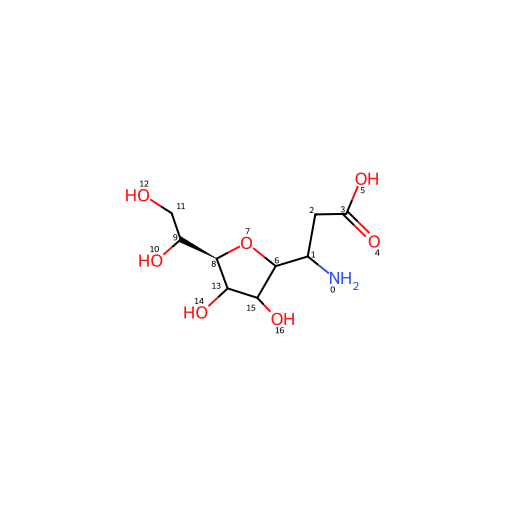 NC(CC(=O)O)C1O[C@H](C(O)CO)C(O)C1O